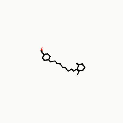 CC1CCCC(C)C1CCCCCCCCCC1CCC(C=O)CC1